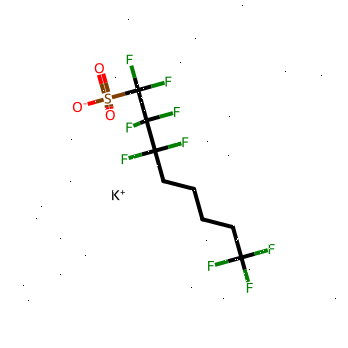 O=S(=O)([O-])C(F)(F)C(F)(F)C(F)(F)CCCCC(F)(F)F.[K+]